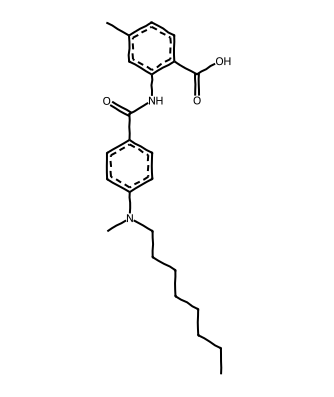 CCCCCCCCN(C)c1ccc(C(=O)Nc2cc(C)ccc2C(=O)O)cc1